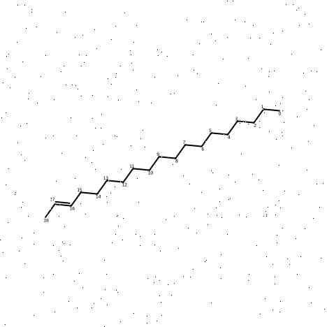 [CH2]CCCCCCCCCCCCCCC/C=C/C